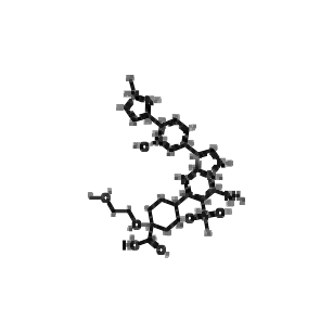 COCCOC1(C(=O)O)CCC(c2nc3c(-c4ccc(-c5ccn(C)n5)[n+]([O-])c4)cnn3c(N)c2S(C)(=O)=O)CC1